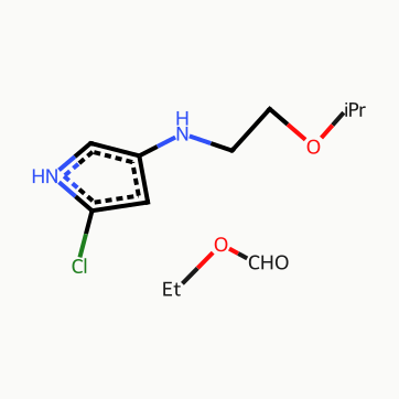 CC(C)OCCNc1c[nH]c(Cl)c1.CCOC=O